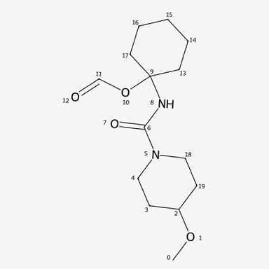 COC1CCN(C(=O)NC2(OC=O)CCCCC2)CC1